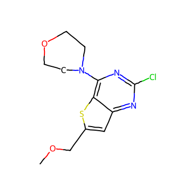 COCc1cc2nc(Cl)nc(N3CCOCC3)c2s1